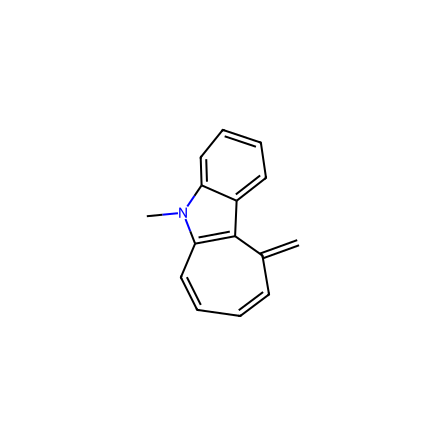 C=C1C=CC=Cc2c1c1ccccc1n2C